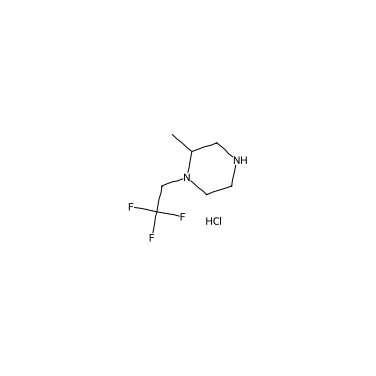 CC1CNCCN1CC(F)(F)F.Cl